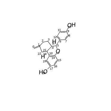 C=C1CC[C@H]2C(c3ccc(O)cc3)Oc3ccc(O)cc3[C@H]2C1